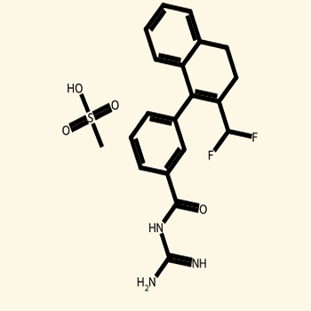 CS(=O)(=O)O.N=C(N)NC(=O)c1cccc(C2=C(C(F)F)CCc3ccccc32)c1